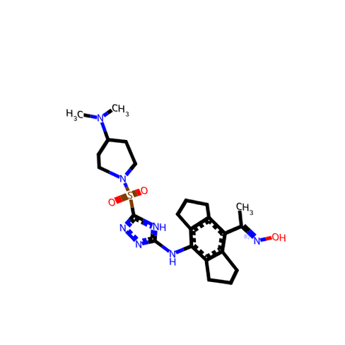 C/C(=N\O)c1c2c(c(Nc3nnc(S(=O)(=O)N4CCC(N(C)C)CC4)[nH]3)c3c1CCC3)CCC2